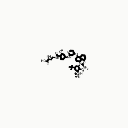 COc1cc(Nc2cc(Oc3ccc(N(C(N)=O)c4cc(C(C)(C)C)cc(NS(C)(=O)=O)c4OC)c4ccccc34)ccn2)ccc1C(=O)NCC[C@H](N)C(=O)O